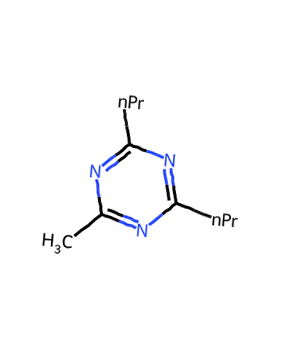 CCCc1nc(C)nc(CCC)n1